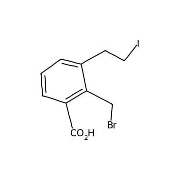 O=C(O)c1cccc(CCI)c1CBr